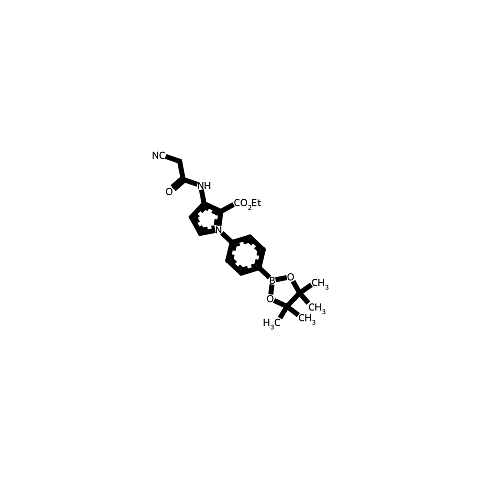 CCOC(=O)c1c(NC(=O)CC#N)ccn1-c1ccc(B2OC(C)(C)C(C)(C)O2)cc1